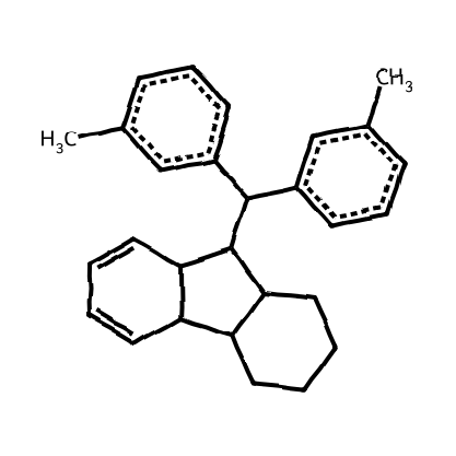 Cc1cccc(C(c2cccc(C)c2)C2C3C=CC=CC3C3CCCCC32)c1